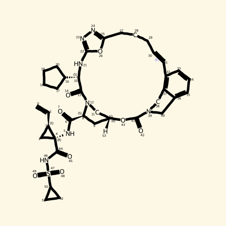 C=C[C@@H]1C[C@]1(NC(=O)[C@@H]1C[C@@H]2CN1C(=O)[C@H](C1CCCC1)Nc1nnc(o1)CCC/C=C/c1cccc3c1CN(C3)C(=O)O2)C(=O)NS(=O)(=O)C1CC1